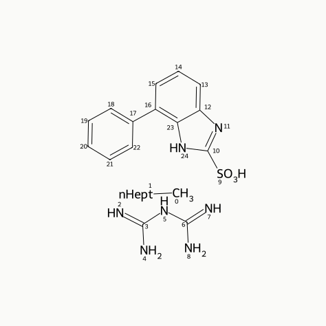 CCCCCCCC.N=C(N)NC(=N)N.O=S(=O)(O)c1nc2cccc(-c3ccccc3)c2[nH]1